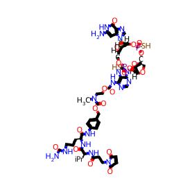 CC(C)[C@H](NC(=O)CCN1C(=O)C=CC1=O)C(=O)N[C@@H](CCCNC(N)=O)C(=O)Nc1ccc(COC(=O)N(C)CCOC(=O)Nc2ncnc3c2ncn3[C@@H]2O[C@@]34CO[C@@H]2[C@@H]3O[P@](=O)(S)OC[C@H]2O[C@@H](n3cnc5c(=O)[nH]c(N)cc53)[C@H](O[P@](=O)(S)OC4)[C@@H]2F)cc1